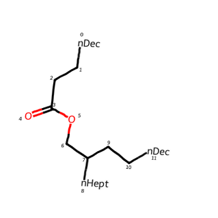 CCCCCCCCCCCCC(=O)OCC(CCCCCCC)CCCCCCCCCCCC